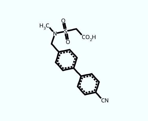 CN(Cc1ccc(-c2ccc(C#N)cc2)cc1)S(=O)(=O)CC(=O)O